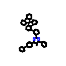 C=C1C(c2ccc(-c3ccccc3)cc2)=NC(c2cccc(-c3cccc4c3-c3ccccc3C43c4ccccc4-c4ccccc43)c2)=NC1c1ccccc1